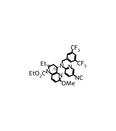 [C-]#[N+]c1ccc(N(Cc2cc(C(F)(F)F)cc(C(F)(F)F)c2)[C@H]2C[C@@H](CC)N(C(=O)OCC)c3ccc(OC)nc32)nc1